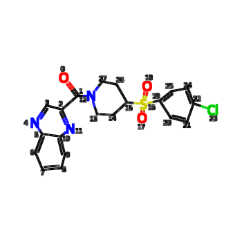 O=C(c1cnc2ccccc2n1)N1CCC(S(=O)(=O)c2ccc(Cl)cc2)CC1